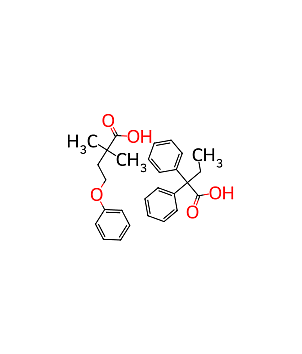 CC(C)(CCOc1ccccc1)C(=O)O.CCC(C(=O)O)(c1ccccc1)c1ccccc1